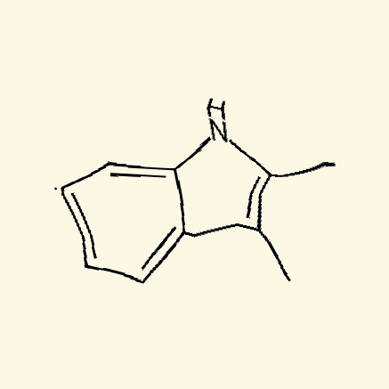 Cc1[nH]c2c[c]ccc2c1C